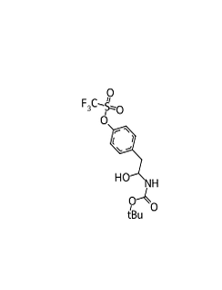 CC(C)(C)OC(=O)NC(O)Cc1ccc(OS(=O)(=O)C(F)(F)F)cc1